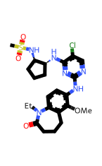 CCN1C(=O)CCCc2c1ccc(Nc1ncc(Cl)c(N[C@@H]3CCC[C@H]3NS(C)(=O)=O)n1)c2OC